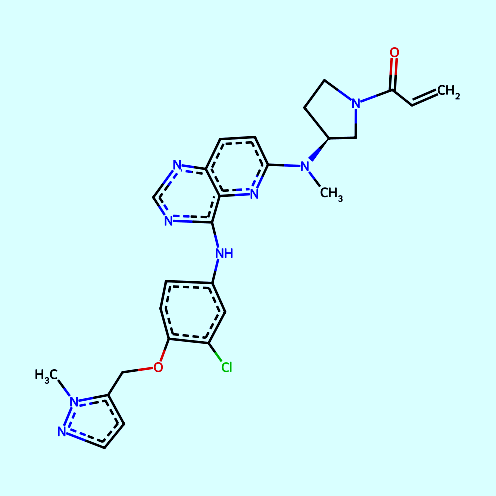 C=CC(=O)N1CC[C@H](N(C)c2ccc3ncnc(Nc4ccc(OCc5ccnn5C)c(Cl)c4)c3n2)C1